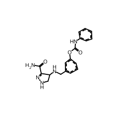 NC(=O)C1=NNCC1NCc1cccc(OC(=O)Nc2ccccc2)c1